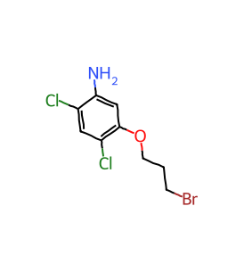 Nc1cc(OCCCBr)c(Cl)cc1Cl